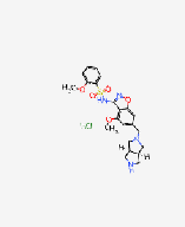 COc1ccccc1S(=O)(=O)Nc1noc2cc(CN3C[C@H]4CNC[C@H]4C3)cc(OC)c12.Cl